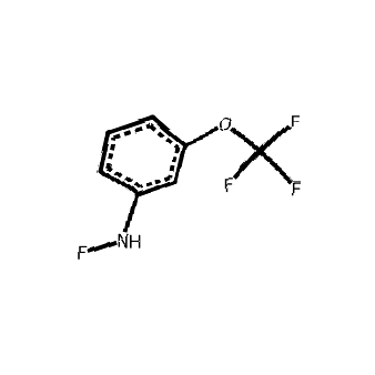 FNc1cccc(OC(F)(F)F)c1